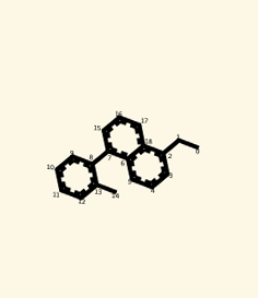 CCc1cccc2c(-c3ccccc3C)cccc12